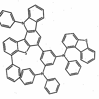 c1ccc(-c2cccc3c2sc2c(-c4cc(N(c5ccccc5)c5ccccc5)cc(N(c5ccccc5)c5cccc6sc7ccccc7c56)c4)cc4c5ccccc5n(-c5ccccc5)c4c23)cc1